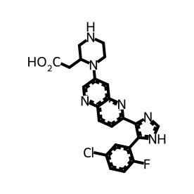 O=C(O)CC1CNCCN1c1cnc2ccc(-c3nc[nH]c3-c3cc(Cl)ccc3F)nc2c1